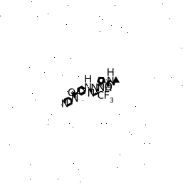 CN1CCC(N(C)C(=O)c2ccc(Nc3ncc(C(F)(F)F)c(N[C@@H]4CCC[C@@H]4C(=O)NC4(C)CC4)n3)cc2)CC1